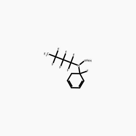 CCCCCCN(C1(F)C=CC=CC1)C(F)(F)C(F)(F)C(F)(F)C(F)(F)F